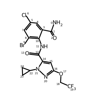 NC(=O)c1cc(Cl)cc(Br)c1NC(=O)c1cc(OCC(F)(F)F)nn1C1CC1